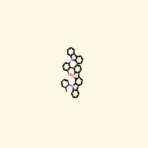 CC1C=CC=CC1n1c2ccccc2c2ccc3c4cccc(-c5c(C#N)cccc5-n5c6ccccc6c6ccccc65)c4oc3c21